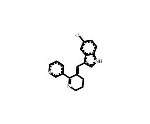 Clc1ccc2[nH]cc(/C=C3\CCCN=C3c3cccnc3)c2c1